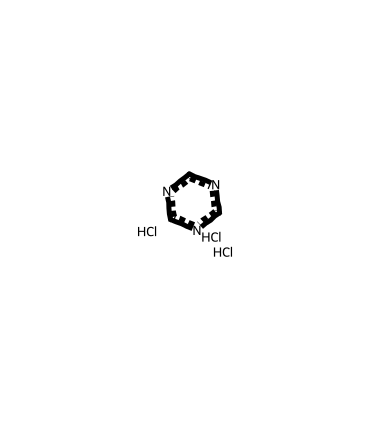 Cl.Cl.Cl.c1ncncn1